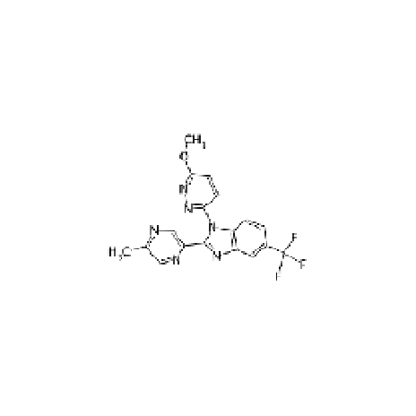 COc1ccc(-n2c(-c3cnc(C)cn3)nc3cc(C(F)(F)F)ccc32)nn1